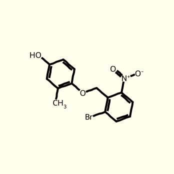 Cc1cc(O)ccc1OCc1c(Br)cccc1[N+](=O)[O-]